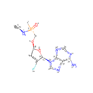 CC[C@H](C)NP(C)(=O)CO[C@@H]1C=C(F)[C@H](n2cnc3c(N)ncnc32)O1